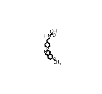 COc1ccc2cnc(N3CCC(CCNC(=O)O)CC3)cc2c1